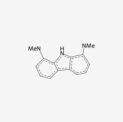 CNc1cccc2c1[nH]c1c(NC)cccc12